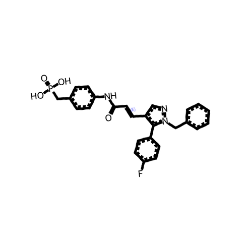 O=C(/C=C/c1cnn(Cc2ccccc2)c1-c1ccc(F)cc1)Nc1ccc(CP(=O)(O)O)cc1